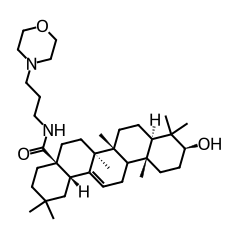 CC1(C)CC[C@]2(C(=O)NCCCN3CCOCC3)CC[C@]3(C)C(=CCC4[C@@]5(C)CC[C@H](O)C(C)(C)[C@@H]5CC[C@]43C)[C@@H]2C1